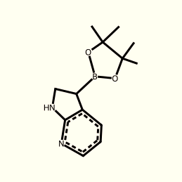 CC1(C)OB(C2CNc3ncccc32)OC1(C)C